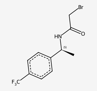 C[C@H](NC(=O)CBr)c1ccc(C(F)(F)F)cc1